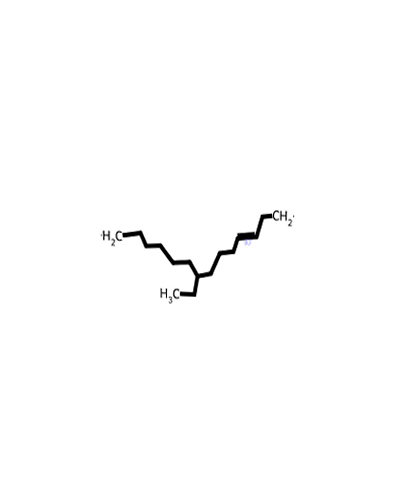 [CH2]C/C=C/CCCC(CC)CCCCC[CH2]